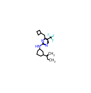 C=C(CC)C1CCCC(Nc2ncc(C(F)(F)F)c(CC3CCC3)n2)C1